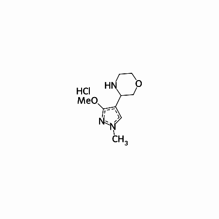 COc1nn(C)cc1C1COCCN1.Cl